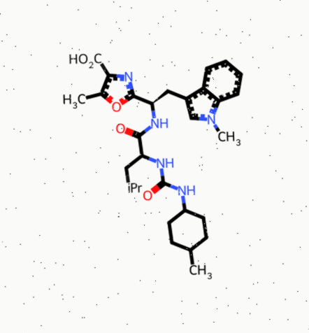 Cc1oc([C@@H](Cc2cn(C)c3ccccc23)NC(=O)C(CC(C)C)NC(=O)NC2CCC(C)CC2)nc1C(=O)O